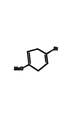 CCC1=CCC(OC)=CC1